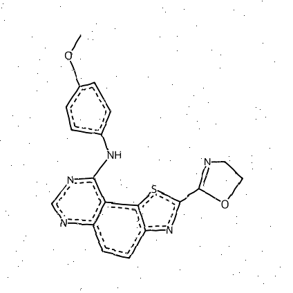 COc1ccc(Nc2ncnc3ccc4nc(C5=NCCO5)sc4c23)cc1